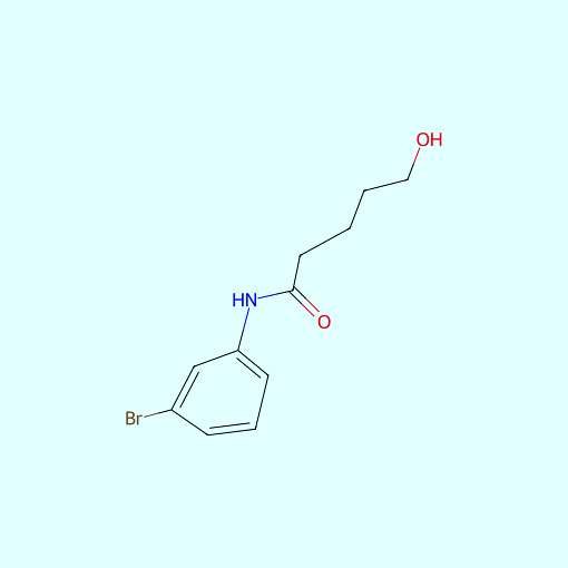 O=C(CCCCO)Nc1cccc(Br)c1